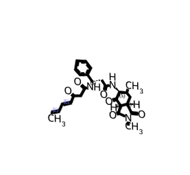 C/C=C/C=C/C(=O)CC(=O)N[C@@H](CC(=O)N[C@@H]1C(=O)[C@@H]2C(=O)N(C)C(=O)[C@H]2CC1C)c1ccccc1